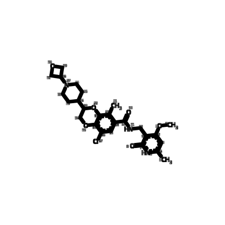 COc1cc(C)[nH]c(=O)c1CNC(=O)c1cc(Cl)c2c(c1C)OC(C1CCN(C3COC3)CC1)CO2